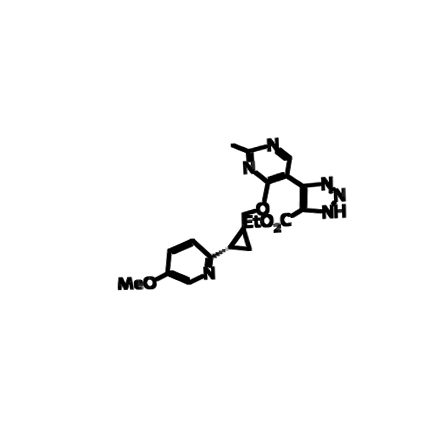 CCOC(=O)c1[nH]nnc1-c1cnc(C)nc1OC[C@H]1C[C@@H]1c1ccc(OC)cn1